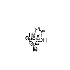 O=[PH]1O[PH](=O)OC(O)(c2ccccc2)O1